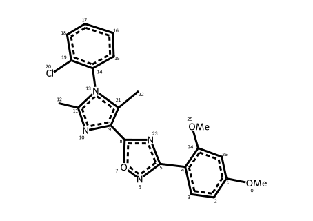 COc1ccc(-c2noc(-c3nc(C)n(-c4ccccc4Cl)c3C)n2)c(OC)c1